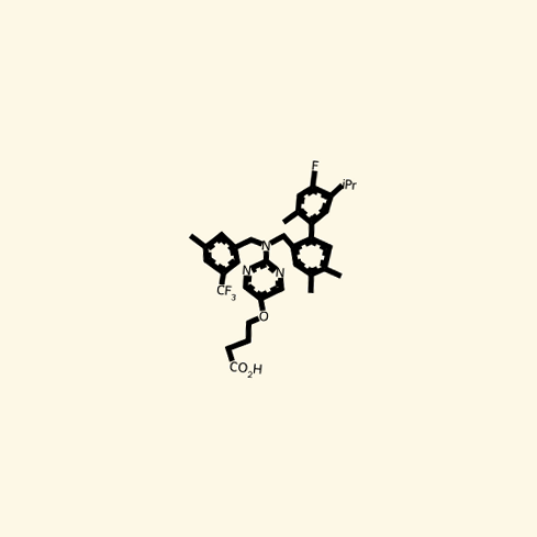 Cc1cc(CN(Cc2cc(C)c(C)cc2-c2cc(C(C)C)c(F)cc2C)c2ncc(OCCCC(=O)O)cn2)cc(C(F)(F)F)c1